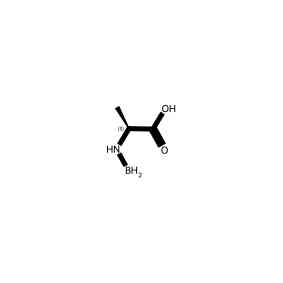 BN[C@@H](C)C(=O)O